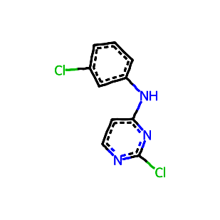 Clc1cccc(Nc2ccnc(Cl)n2)c1